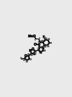 COCCn1c(=O)c2c(-c3nc(-c4ccc(C)o4)no3)ncn2c2cccc(F)c21